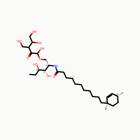 CC[C@@H](O)[C@@H](O)[C@H](COC(O)C(=O)C(CO)C(O)CO)NC(=O)CCCCCCCCCC[C@@]1(C)C=C[C@H](C)CC1